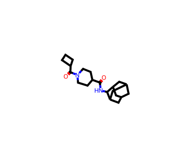 O=C(NC1C2CC3CC(C2)CC1C3)C1CCN(C(=O)C2CCC2)CC1